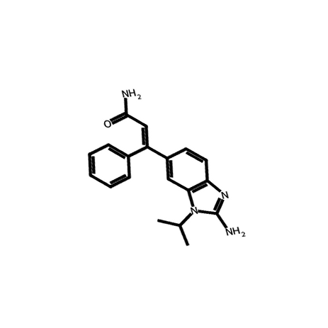 CC(C)n1c(N)nc2ccc(C(=CC(N)=O)c3ccccc3)cc21